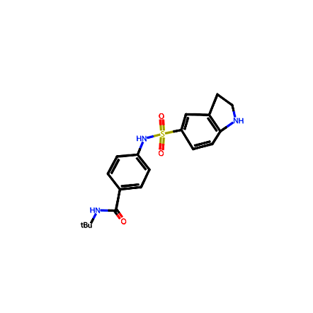 CC(C)(C)NC(=O)c1ccc(NS(=O)(=O)c2ccc3c(c2)CCN3)cc1